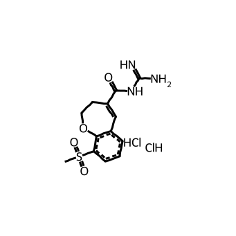 CS(=O)(=O)c1cccc2c1OCCC(C(=O)NC(=N)N)=C2.Cl.Cl